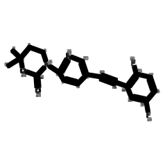 CC1(C)CCN(c2ccc(C#Cc3cc(F)ccc3F)cn2)C(=O)O1